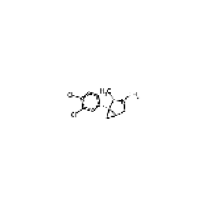 C[C@@H]1N(C)CC2C[C@]21c1ccc(Cl)c(Cl)c1